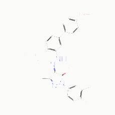 CC1=NN(c2ccc(C)c(C)c2)C(=O)/C1=N\Nc1cc(-c2ccc(O)cc2)ccc1C(=O)O